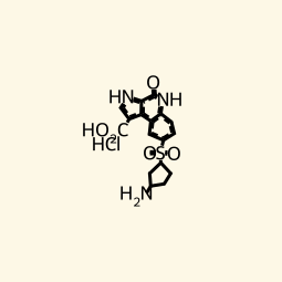 Cl.NC1CCC(S(=O)(=O)c2ccc3[nH]c(=O)c4[nH]cc(C(=O)O)c4c3c2)C1